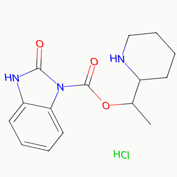 CC(OC(=O)n1c(=O)[nH]c2ccccc21)C1CCCCN1.Cl